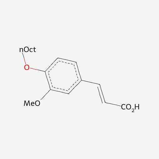 CCCCCCCCOc1ccc(/C=C/C(=O)O)cc1OC